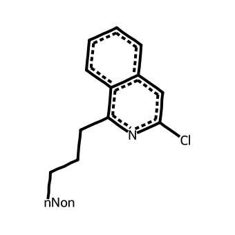 CCCCCCCCCCCCc1nc(Cl)cc2ccccc12